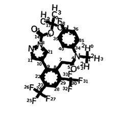 [2H]C([2H])([2H])N(C(=O)Cc1c(-c2cnn(C(=O)OC(C)(C)C)c2)cc(C(F)(F)F)cc1C(F)(F)F)c1ccc(F)cc1